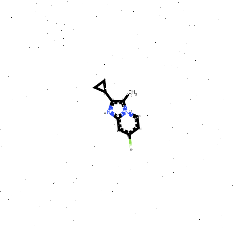 Cc1c(C2CC2)nc2cc(F)ccn12